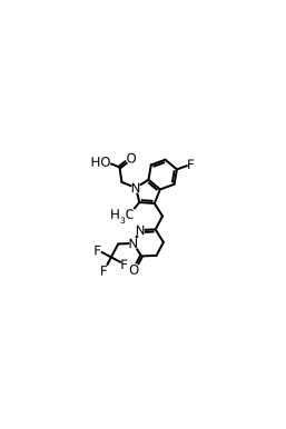 Cc1c(CC2=NN(CC(F)(F)F)C(=O)CC2)c2cc(F)ccc2n1CC(=O)O